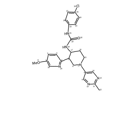 COc1ccc(C2CN(c3cnc(C)nc3)CCC2NC(=O)Nc2ccc(Cl)cc2)nc1